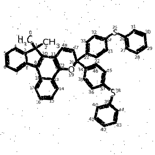 CC1(C)c2ccccc2-c2c1c1c(c3ccccc23)OC(c2ccc(Sc3ccccc3)cc2)(c2ccc(Sc3ccccc3)cc2)C=C1